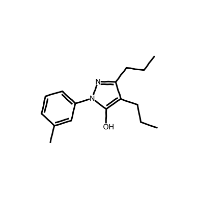 CCCc1nn(-c2cccc(C)c2)c(O)c1CCC